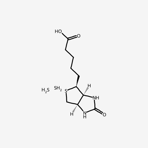 O=C(O)CCCC[C@@H]1SC[C@@H]2NC(=O)N[C@@H]21.S.S